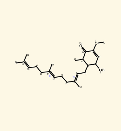 COC1=CC(O)C(C/C=C(\C)CC/C=C(\C)CCC=C(C)C)C(C)C1=O